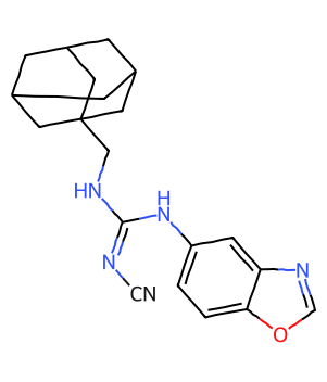 N#CN=C(NCC12CC3CC(CC(C3)C1)C2)Nc1ccc2ocnc2c1